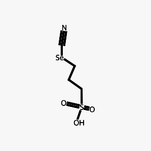 N#C[Se]CCCS(=O)(=O)O